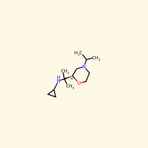 CC(C)N1CCO[C@@H](C(C)(C)NC2CC2)C1